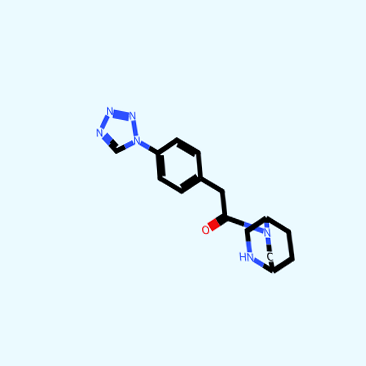 O=C(Cc1ccc(-n2cnnn2)cc1)N1CC2CCC1CN2